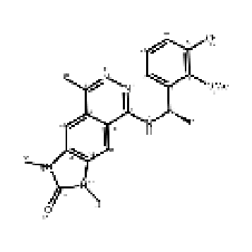 COc1c([C@@H](C)Nc2nnc(C)c3cc4c(cc23)n(C)c(=O)n4C)cccc1C(F)(F)F